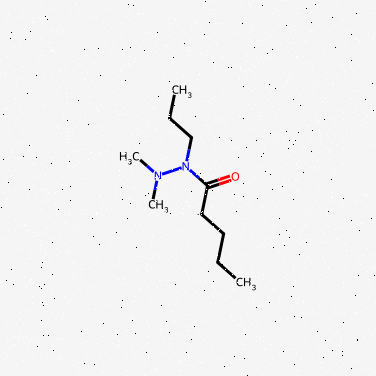 CCC[CH]C(=O)N(CCC)N(C)C